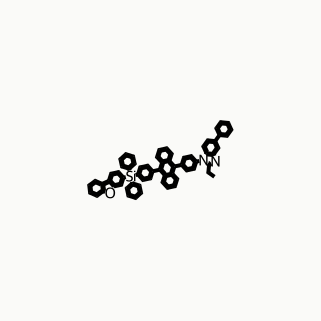 CCc1nc2cc(-c3ccccc3)ccc2n1-c1ccc(-c2c3ccccc3c(-c3ccc([Si](c4ccccc4)(c4ccccc4)c4ccc5c(c4)oc4ccccc45)cc3)c3ccccc23)cc1